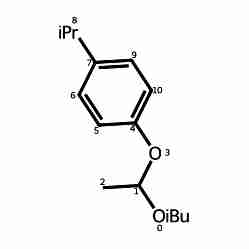 CC(C)COC(C)Oc1ccc(C(C)C)cc1